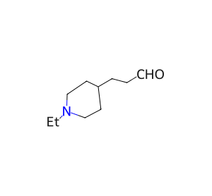 CCN1CCC(CCC=O)CC1